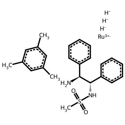 CS(=O)(=O)N[C@@H](c1ccccc1)[C@@H](N)c1ccccc1.Cc1cc(C)cc(C)c1.[H-].[H-].[H-].[Ru+3]